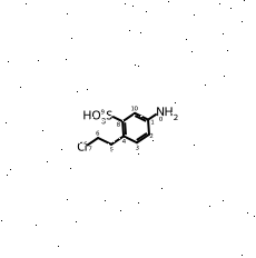 Nc1ccc(CCCl)c(S(=O)(=O)O)c1